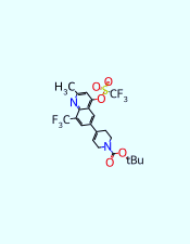 Cc1cc(OS(=O)(=O)C(F)(F)F)c2cc(C3=CCN(C(=O)OC(C)(C)C)CC3)cc(C(F)(F)F)c2n1